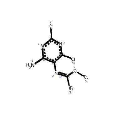 CCO/C(=N\c1c(N)nc(Cl)nc1Cl)C(C)C